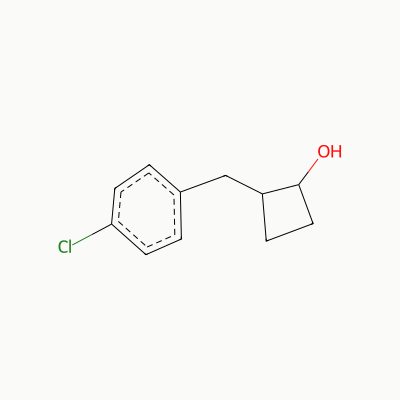 OC1CCC1Cc1ccc(Cl)cc1